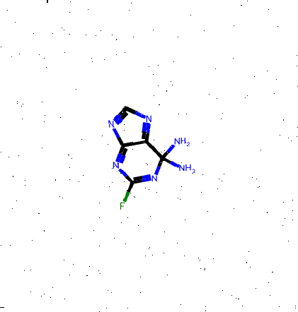 NC1(N)N=C(F)N=C2N=CN=C21